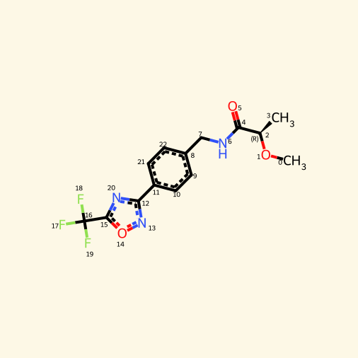 CO[C@H](C)C(=O)NCc1ccc(-c2noc(C(F)(F)F)n2)cc1